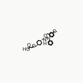 COc1ccc(N(C(=O)NC[C@H]2CC[C@H](COCC(=O)O)CC2)c2ccccc2)c(C)c1